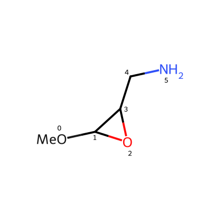 COC1OC1CN